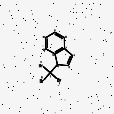 BrC(Br)(Br)C1C=Cc2ccc[c]c21